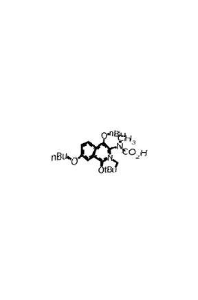 CCCCOc1ccc2c(OCCCC)c(N(C)C(=O)O)n(CC(C)(C)C)c(=O)c2c1